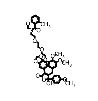 COc1ccc(C2(O)OC(=O)C(c3ccc4c(c3)OCO4)=C2Cc2cc(OC)c(OC)c(OCCOCCOCCN(C=O)C(=O)c3ccccc3C)c2)cc1